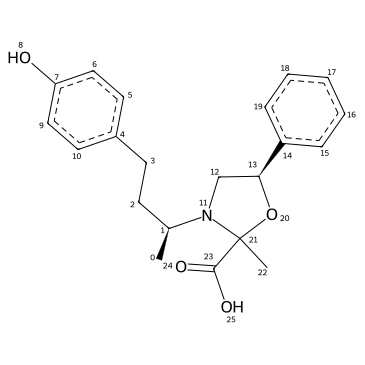 C[C@@H](CCc1ccc(O)cc1)N1C[C@@H](c2ccccc2)OC1(C)C(=O)O